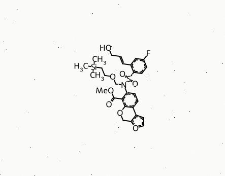 COC(=O)c1c(N(COCC[Si](C)(C)C)S(=O)(=O)c2ccc(F)cc2C=CCO)ccc2c1OCc1occc1-2